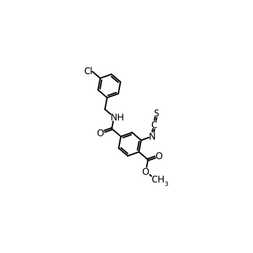 COC(=O)c1ccc(C(=O)NCc2cccc(Cl)c2)cc1N=C=S